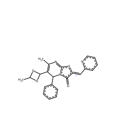 CC1=C(C2OC(C)O2)C(c2ccccc2)n2c(s/c(=C\c3ccccn3)c2=O)=N1